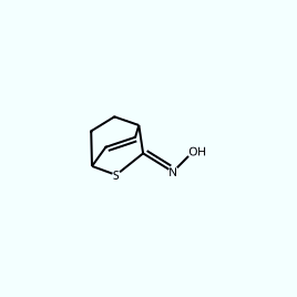 O/N=C1/SC2C=CC1CC2